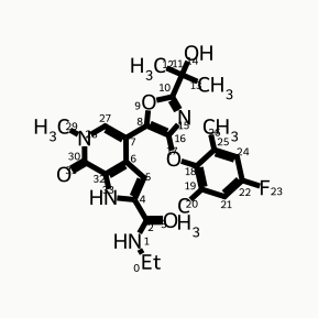 CCNC(=O)c1cc2c(-c3oc(C(C)(C)O)nc3Oc3c(C)cc(F)cc3C)cn(C)c(=O)c2[nH]1